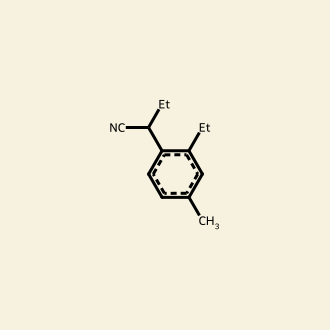 CCc1cc(C)ccc1C(C#N)CC